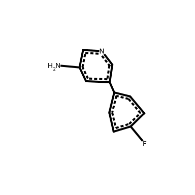 Nc1cncc(-c2ccc(F)cc2)c1